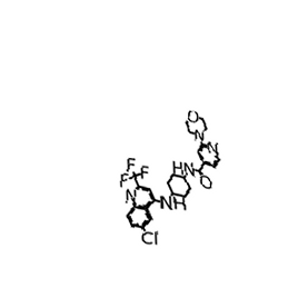 O=C(NC1CCC(Nc2cc(C(F)(F)F)nc3ccc(Cl)cc23)CC1)c1ccnc(N2CCOCC2)c1